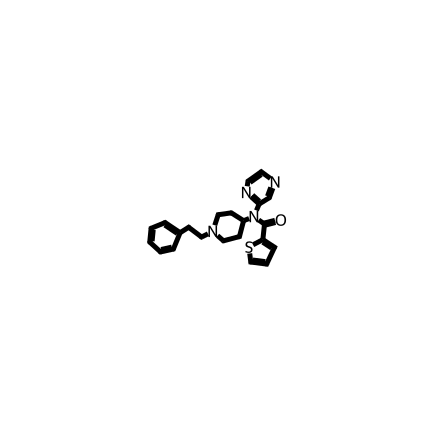 O=C(c1cccs1)N(c1cnccn1)C1CCN(CCc2ccccc2)CC1